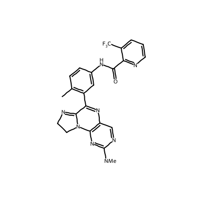 CNc1ncc2c(n1)N1CCN=C1C(c1cc(NC(=O)c3ncccc3C(F)(F)F)ccc1C)=N2